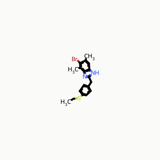 CCSc1ccc(Cc2nc3c(C)c(Br)c(C)cc3[nH]2)cc1